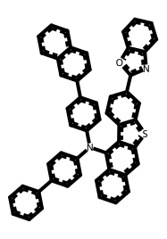 c1ccc(-c2ccc(N(c3ccc(-c4ccc5ccccc5c4)cc3)c3c4ccccc4cc4sc5cc(-c6nc7ccccc7o6)ccc5c34)cc2)cc1